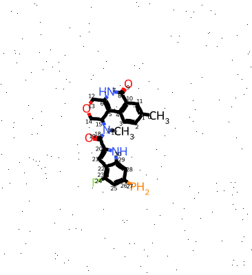 Cc1ccc2c3c([nH]c(=O)c2c1)COCC3N(C)C(=O)c1cc2c(F)cc(P)cc2[nH]1